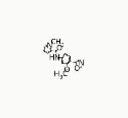 COc1cc(NC(=O)c2cccn2C)ccc1-c1cnco1